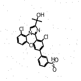 CC(C)(O)c1cn(-c2c(Cl)cccc2Cl)c(-c2ccc(-c3cccc([SH](=O)=O)c3)cc2Cl)n1